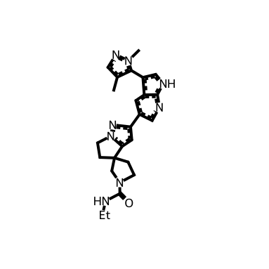 CCNC(=O)N1CCC2(CCn3nc(-c4cnc5[nH]cc(-c6c(C)cnn6C)c5c4)cc32)C1